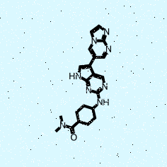 CN(C)C(=O)C1CCC(Nc2ncc3c(-c4cnc5nccn5c4)c[nH]c3n2)CC1